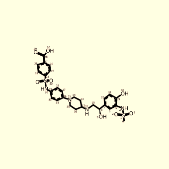 CS(=O)(=O)Nc1cc([C@@H](O)CNC2CCN(c3ccc(NS(=O)(=O)c4ccc(C(=O)O)cc4)cc3)CC2)ccc1O